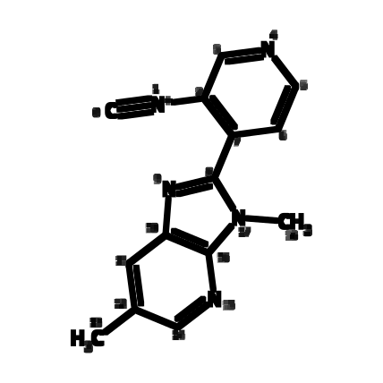 [C-]#[N+]c1cnccc1-c1nc2cc(C)cnc2n1C